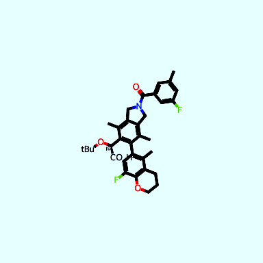 Cc1cc(F)cc(C(=O)N2Cc3c(C)c(-c4cc(F)c5c(c4C)CCCO5)c([C@H](OC(C)(C)C)C(=O)O)c(C)c3C2)c1